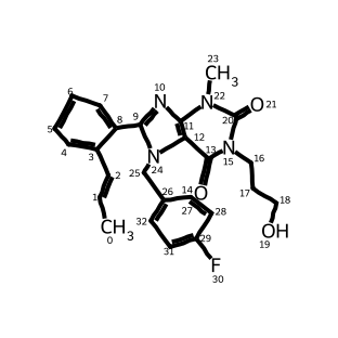 C/C=C/c1ccccc1-c1nc2c(c(=O)n(CCCO)c(=O)n2C)n1Cc1ccc(F)cc1